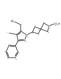 N#CCc1c(I)c(-c2cccnc2)nn1C1CC2(C1)CN(C(=O)O)C2